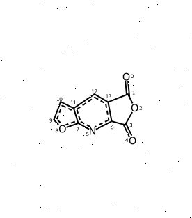 O=C1OC(=O)c2nc3occc3cc21